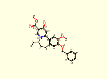 CCC1CCc2cc(OCc3ccccc3)c(OC)cc2-c2cc(=O)c(C(=O)OC)cn21